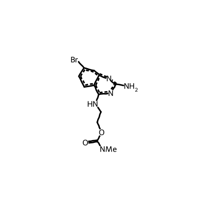 CNC(=O)OCCNc1nc(N)nc2cc(Br)ccc12